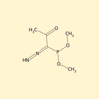 COP(OC)C(=[N+]=N)C(C)=O